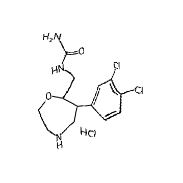 Cl.NC(=O)NCC1OCCNCC1c1ccc(Cl)c(Cl)c1